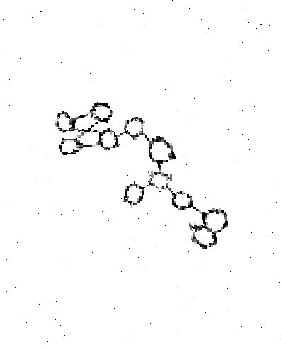 c1ccc(-c2nc(-c3ccc(-c4cccc5cccnc45)cc3)nc(-c3cccc(-c4cccc(-c5ccc6c(c5)C5(c7ccccc7-c7ccccc75)c5ccccc5-6)c4)c3)n2)cc1